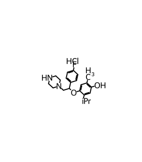 Cc1cc(OC(CN2CCNCC2)c2ccc(F)cc2)c(C(C)C)cc1O.Cl